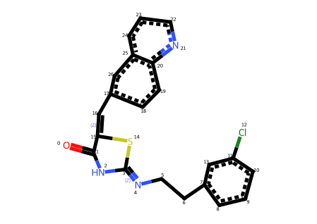 O=C1N/C(=N/CCc2cccc(Cl)c2)S/C1=C\c1ccc2ncccc2c1